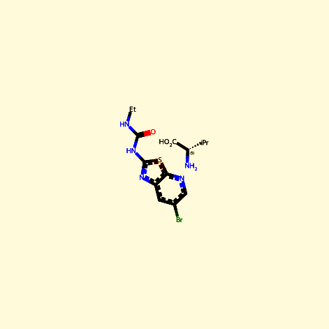 CC(C)[C@H](N)C(=O)O.CCNC(=O)Nc1nc2cc(Br)cnc2s1